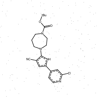 CC(C)(C)OC(=O)N1CCCN(c2[nH]c(-c3ccnc(Cl)c3)cc2C#N)CC1